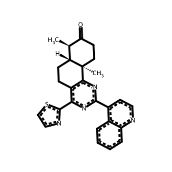 C[C@H]1C(=O)CC[C@@]2(C)c3nc(-c4ccnc5ccccc45)nc(-c4nccs4)c3CC[C@H]12